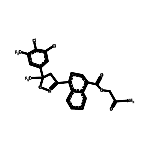 NC(=O)COC(=O)c1ccc(C2=NOC(c3cc(Cl)c(Cl)c(C(F)(F)F)c3)(C(F)(F)F)C2)c2ccccc12